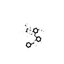 C=C(NS(=O)(=O)c1ccc(OC)cc1Cc1ccccc1NC(=O)c1ccccc1)C(=O)OC